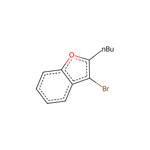 CCCCc1oc2ccccc2c1Br